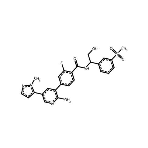 Cn1nccc1-c1cnc(N)c(-c2ccc(C(=O)NC(CO)c3cccc(S(C)(=O)=O)c3)c(F)c2)c1